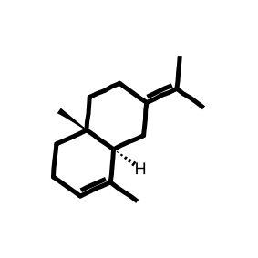 CC1=CCC[C@]2(C)CCC(=C(C)C)C[C@@H]12